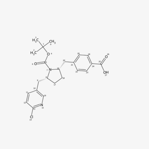 CC(C)(C)OC(=O)N1[C@@H](Cc2ccc(Cl)nc2)CC[C@H]1Cc1ccc(C(=O)O)cc1